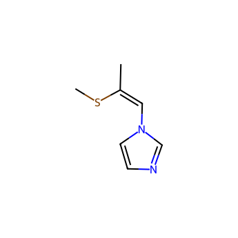 CS/C(C)=C\n1ccnc1